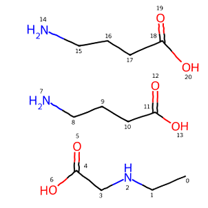 CCNCC(=O)O.NCCCC(=O)O.NCCCC(=O)O